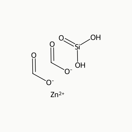 O=C[O-].O=C[O-].O=[Si](O)O.[Zn+2]